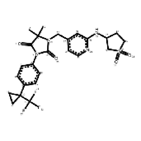 CC1(C)C(=O)N(c2ccc(C3(C(F)(F)F)CC3)cc2)C(=O)N1Cc1ccnc(NC2CCS(=O)(=O)C2)c1